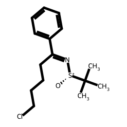 CC(C)(C)[S@+]([O-])N=C(CCCCCl)c1ccccc1